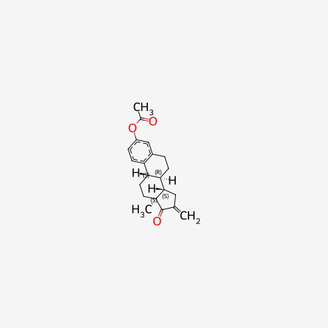 C=C1C[C@H]2[C@@H]3CCc4cc(OC(C)=O)ccc4[C@H]3CC[C@]2(C)C1=O